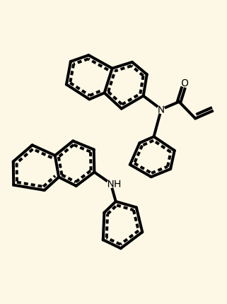 C=CC(=O)N(c1ccccc1)c1ccc2ccccc2c1.c1ccc(Nc2ccc3ccccc3c2)cc1